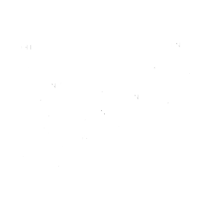 N#Cc1cccc(N2CCN(C(=O)c3cn(CCO)cc3-c3ccccc3)CC2)c1